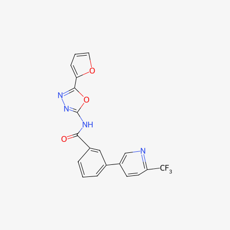 O=C(Nc1nnc(-c2ccco2)o1)c1cccc(-c2ccc(C(F)(F)F)nc2)c1